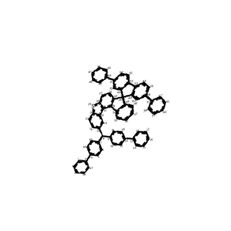 c1ccc(-c2ccc(C(c3ccc(-c4ccccc4)cc3)c3ccc4sc5ccc6c(c5c4c3)-c3ccccc3C63c4cc(-c5ccccc5)ccc4-c4ccc(-c5ccccc5)cc43)cc2)cc1